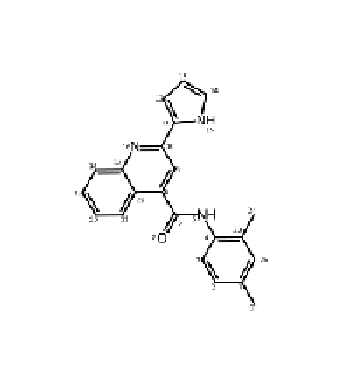 Cc1ccc(NC(=O)c2cc(-c3ccc[nH]3)nc3ccccc23)c(C)c1